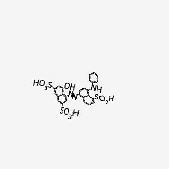 O=S(=O)(O)c1cc(O)c2c(/N=N/c3ccc(Nc4ccccc4)c4c(S(=O)(=O)O)cccc34)cc(S(=O)(=O)O)cc2c1